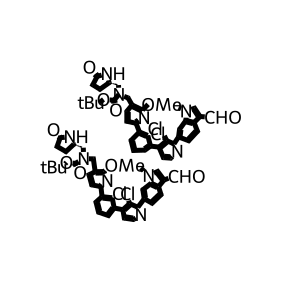 COc1nc(-c2cccc(-c3ccnc(-c4ccc5c(C=O)cn(C)c5c4)c3Cl)c2Cl)ccc1CN(C[C@@H]1CCC(=O)N1)C(=O)OC(C)(C)C.COc1nc(-c2cccc(-c3ccnc(-c4ccc5c(C=O)cn(C)c5c4)c3Cl)c2Cl)ccc1CN(C[C@@H]1CCC(=O)N1)C(=O)OC(C)(C)C